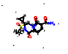 CN1C(=O)c2ccc(C(N)=O)c(=O)n2CC1(C1CC1)[S+](C)[O-]